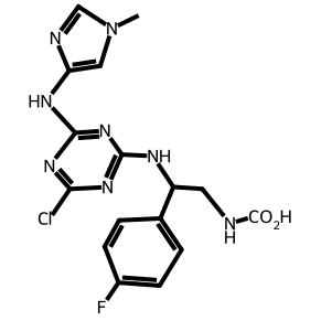 Cn1cnc(Nc2nc(Cl)nc(NC(CNC(=O)O)c3ccc(F)cc3)n2)c1